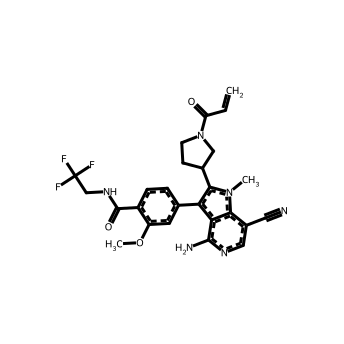 C=CC(=O)N1CCC(c2c(-c3ccc(C(=O)NCC(F)(F)F)c(OC)c3)c3c(N)ncc(C#N)c3n2C)C1